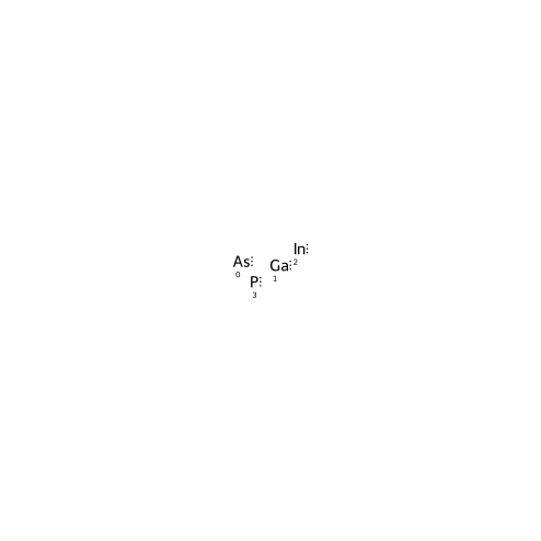 [As].[Ga].[In].[P]